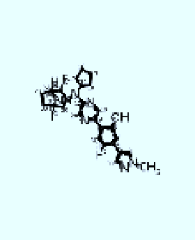 Cn1cc(-c2cc(O)c(-c3cnc(N(C4CCCC4)[C@H]4C[C@@H]5CC[C@@H](N5)[C@H]4F)cn3)cc2F)cn1